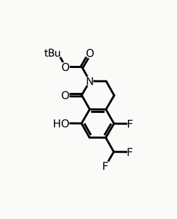 CC(C)(C)OC(=O)N1CCc2c(F)c(C(F)F)cc(O)c2C1=O